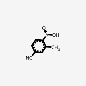 Cc1cc(C#N)ccc1S(=O)O